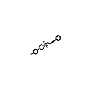 O=S(=O)(C[CH]C#Cc1ccccc1)N1CCN(c2ccc(F)cc2)CC1